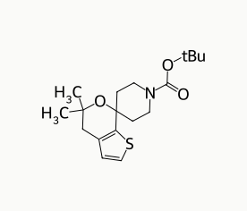 CC(C)(C)OC(=O)N1CCC2(CC1)OC(C)(C)Cc1ccsc12